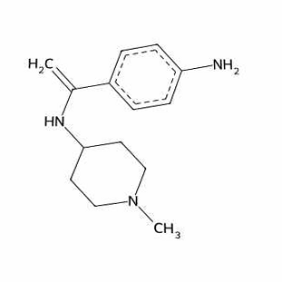 C=C(NC1CCN(C)CC1)c1ccc(N)cc1